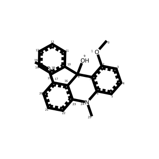 COc1cccc2c1C(O)(c1ccccc1)c1c(OC)cccc1N2C